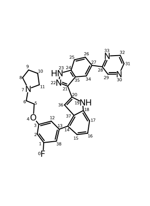 Fc1cc(OCCN2CCCC2)cc(-c2cccc3[nH]c(-c4n[nH]c5ccc(-c6cnccn6)cc45)cc23)c1